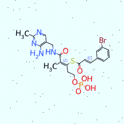 C/C(C(=O)NCc1cnc(C)nc1N)=C(\CCOP(=O)(O)O)SC(=O)/C=C/c1cccc(Br)c1